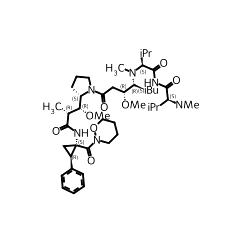 CC[C@H](C)[C@H]([C@@H](CC(=O)N1CCC[C@H]1[C@H](OC)[C@@H](C)C(=O)N[C@@]1(C(=O)N2CCCCO2)C[C@@H]1c1ccccc1)OC)N(C)[C@H](C(=O)NC(=O)[C@@H](NC)C(C)C)C(C)C